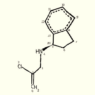 C=C(Cl)CN[C@@H]1CCc2ccccc21